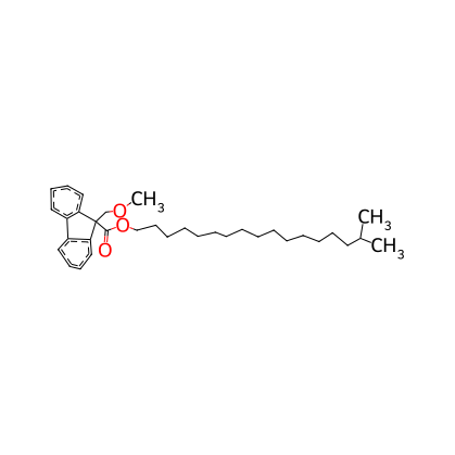 COCC1(C(=O)OCCCCCCCCCCCCCCCC(C)C)c2ccccc2-c2ccccc21